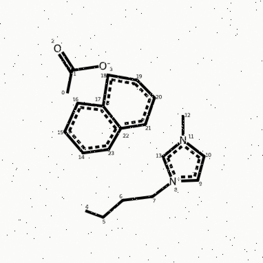 CC(=O)[O-].CCCC[n+]1ccn(C)c1.c1ccc2ccccc2c1